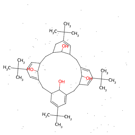 CC(C)(C)C1=CC2CC3=CC(C(C)(C)C)=CC(CC4CC(C(C)(C)C)=CC(CC5=CC(C(C)(C)C)=CC(CC(=C1)C2O)C5O)C4O)C3O